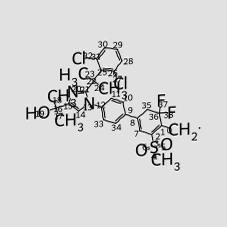 [CH2]C1=C(S(C)(=O)=O)C=C(c2ccc(-n3cc(C(C)(C)O)nc3C(C)(C)c3c(Cl)cccc3Cl)cc2)CC1(F)F